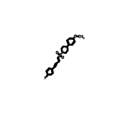 COc1ccc(C2CCN(S(=O)(=O)C=CC#Cc3ccc(F)cc3)CC2)cc1